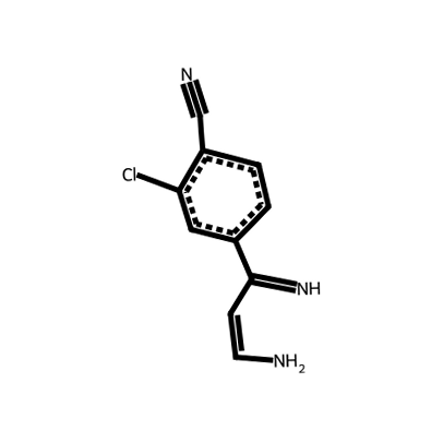 N#Cc1ccc(C(=N)/C=C\N)cc1Cl